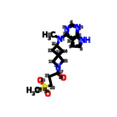 CN(c1ncnc2[nH]ccc12)C1CC2(C1)CN(C(=O)CCS(C)(=O)=O)C2